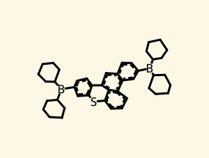 c1cc2c3c(cc4ccc(B(C5CCCCC5)C5CCCCC5)cc4c3c1)-c1ccc(B(C3CCCCC3)C3CCCCC3)cc1S2